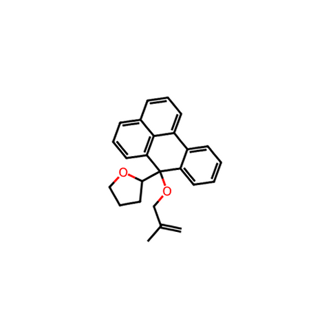 C=C(C)COC1(C2CCCO2)c2ccccc2-c2cccc3cccc1c23